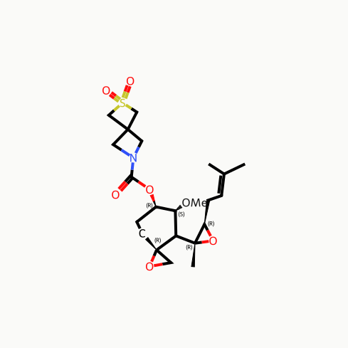 CO[C@H]1C([C@@]2(C)O[C@@H]2CC=C(C)C)[C@]2(CC[C@H]1OC(=O)N1CC3(C1)CS(=O)(=O)C3)CO2